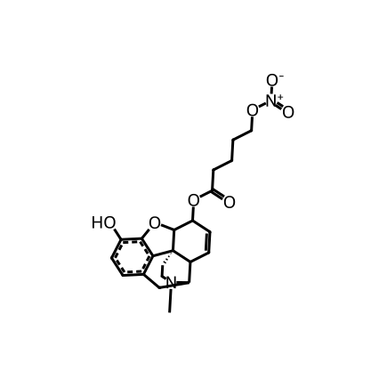 CN1CC[C@]23c4c5ccc(O)c4OC2C(OC(=O)CCCCO[N+](=O)[O-])C=CC3C1C5